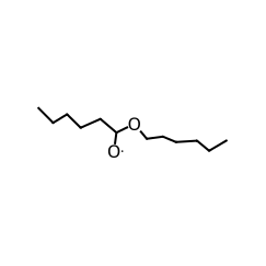 CCCCCCOC([O])CCCCC